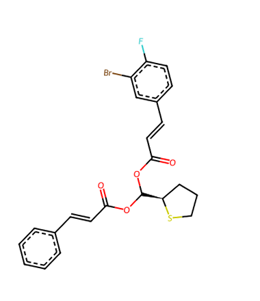 O=C(C=Cc1ccccc1)OC(OC(=O)C=Cc1ccc(F)c(Br)c1)[C@H]1CCCS1